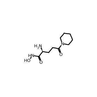 N[C@@H](CCC(=O)N1CCCCC1)C(=O)NO